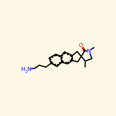 CC1CN(C)C(=O)C12Cc1cc3ccc(CCCN)cc3cc1C2